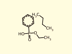 CCCC.CCOP(=O)(O)c1ccccc1